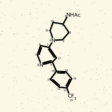 CC(=O)NC1CCN(c2ccnc(-c3ccc(C(F)(F)F)cc3)c2)CC1